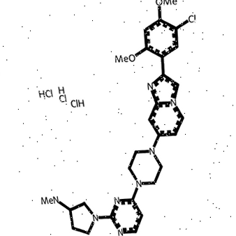 CNC1CCN(c2nccc(N3CCN(c4ccn5cc(-c6cc(Cl)c(OC)cc6OC)nc5c4)CC3)n2)C1.Cl.Cl.Cl